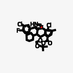 Cc1cc(C(=O)OC(C)(C)C)c(C(OC=O)C(c2nc[nH]c2-c2ccc(F)c(Cl)c2)C2CCCCC2)c(F)c1Cl